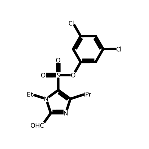 CCn1c(C=O)nc(C(C)C)c1S(=O)(=O)Oc1cc(Cl)cc(Cl)c1